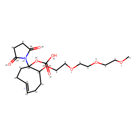 COCCOCCOCCOC1CC/C=C/CCC1(OC(=O)O)N1C(=O)CCC1=O